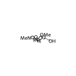 CNc1ccc(Oc2ncnc3cc(OCCCCO)c(OC)cc23)c(F)c1